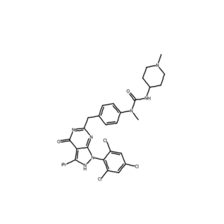 CC(C)c1[nH]n(-c2c(Cl)cc(Cl)cc2Cl)c2nc(Cc3ccc(N(C)C(=O)NC4CCN(C)CC4)cc3)nc(=O)c1-2